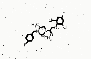 C[C@@H]1CN(Cc2ccc(F)cc2)[C@@H](C)CN1C(=O)COc1c(Cl)cc(F)cc1Cl